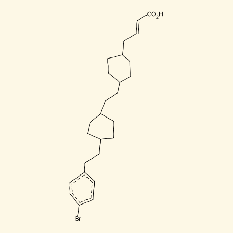 O=C(O)C=CCC1CCC(CCC2CCC(CCc3ccc(Br)cc3)CC2)CC1